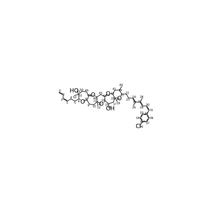 C=C/C=C\CCC1OC2CCC3(C)OC4C(O)CC5(C)OC(CC/C=C(C)/C(C)=C/C=C\c6ccc(Cl)cc6)C(C)CC5OC4CC3OC2CCC1(C)O